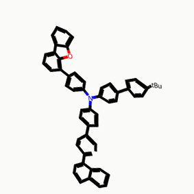 C=C(/C=C\C(=C/C)c1ccc(N(c2ccc(-c3ccc(C(C)(C)C)cc3)cc2)c2ccc(-c3cccc4c3oc3ccccc34)cc2)cc1)c1cccc2ccccc12